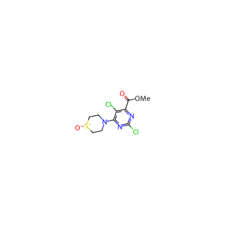 COC(=O)c1nc(Cl)nc(N2CC[S+]([O-])CC2)c1Cl